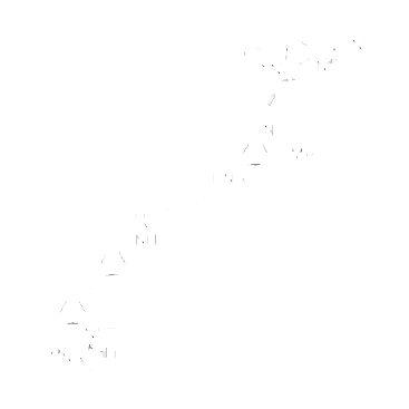 COc1cc(C(=O)NCCOCCOCC(=O)NCc2ccc(COc3ccc4c(c3)N(C)[C@@H](C(C)C)C(=O)N[C@H](CO)C4)cc2)ccc1NCC#Cc1cc2c(N[C@@H]3CCN(C)C[C@@H]3F)cccc2n1CC(F)(F)F